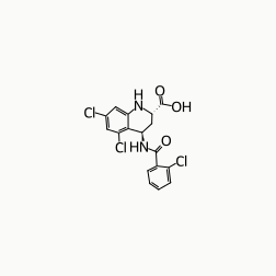 O=C(N[C@@H]1C[C@@H](C(=O)O)Nc2cc(Cl)cc(Cl)c21)c1ccccc1Cl